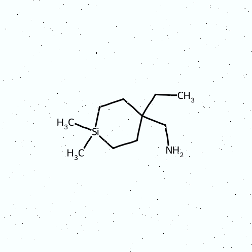 CCC1(CN)CC[Si](C)(C)CC1